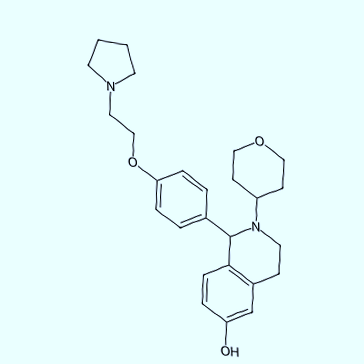 Oc1ccc2c(c1)CCN(C1CCOCC1)C2c1ccc(OCCN2CCCC2)cc1